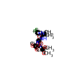 COc1ccc(CN(Cc2ccc(OC)cc2OC)S(=O)(=O)c2cc(NC(=O)c3cc(C)c(C)nc3N3CCCC(F)(F)CC3)ccn2)c(OC)c1